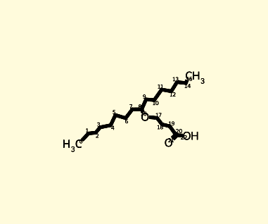 CCCCCCCCC(CCCCCCC)OCCCC(=O)O